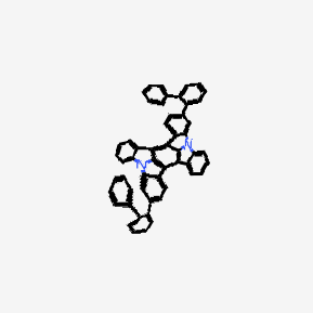 c1ccc(-c2ccccc2-c2ccc3c4c5c6ccccc6n6c7cc(-c8ccccc8-c8ccccc8)ccc7c(c7c8ccccc8n(c3c2)c74)c56)cc1